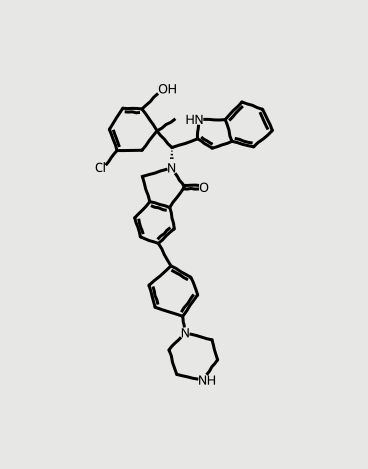 CC1([C@H](c2cc3ccccc3[nH]2)N2Cc3ccc(-c4ccc(N5CCNCC5)cc4)cc3C2=O)CC(Cl)=CC=C1O